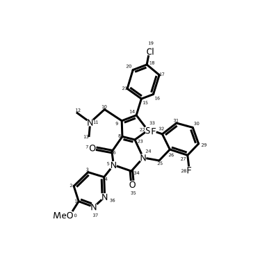 COc1ccc(-n2c(=O)c3c(CN(C)C)c(-c4ccc(Cl)cc4)sc3n(Cc3c(F)cccc3F)c2=O)nn1